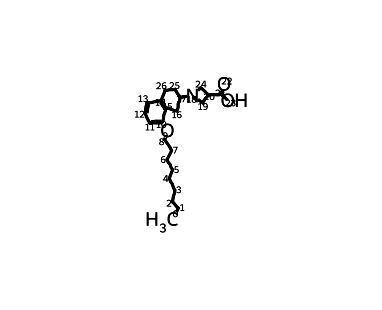 CCCCCCCCCOc1cccc2c1CC(N1CC(C(=O)O)C1)CC2